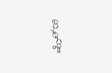 CC(c1ccc2c(c1)OCC2)N1CCN(c2ccc3c(c2)C(=O)NC3)CC1